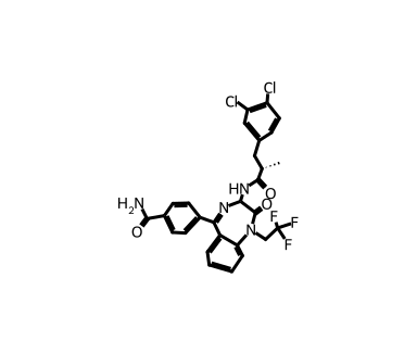 C[C@@H](Cc1ccc(Cl)c(Cl)c1)C(=O)NC1N=C(c2ccc(C(N)=O)cc2)c2ccccc2N(CC(F)(F)F)C1=O